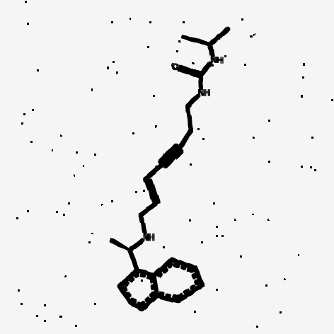 CC(C)NC(=O)NCCC#C/C=C/CN[C@H](C)c1cccc2ccccc12